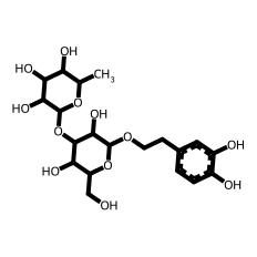 CC1OC(OC2C(O)C(CO)OC(OCCc3ccc(O)c(O)c3)C2O)C(O)C(O)C1O